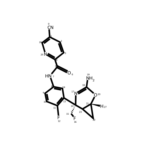 N#Cc1ccc(C(=O)Nc2ccc(F)c([C@@]3(CF)N=C(N)O[C@@H]4CC43)c2)nc1